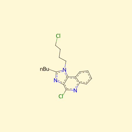 CCCCc1nc2c(Cl)nc3ccccc3c2n1CCCCCl